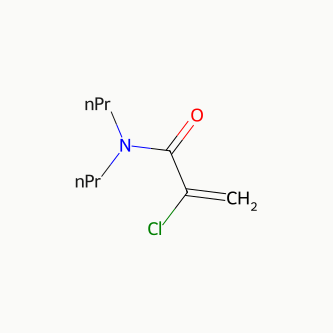 C=C(Cl)C(=O)N(CCC)CCC